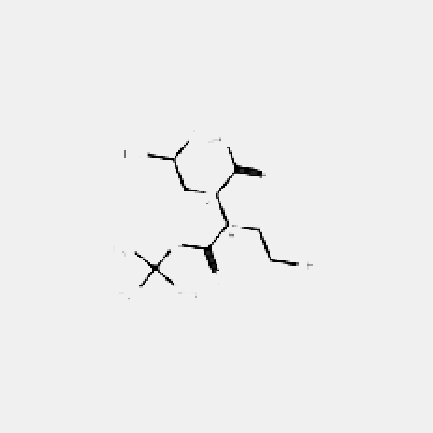 CCC[C@@H](C(=O)OC(C)(C)C)[C@@H](CC(C)C)C(=O)O